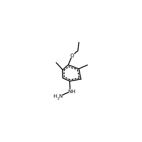 CCOc1c(C)cc(NN)cc1C